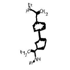 C=C(NC(C)C)C1=CC=C(c2ccc(C(=C)NCC)cc2)C1